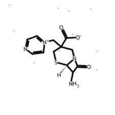 NC1C(=O)N2CC(C[n+]3ccncc3)(C(=O)[O-])CS[C@H]12